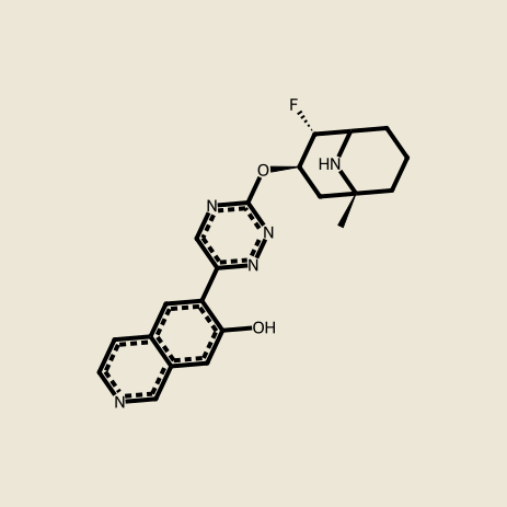 C[C@]12CCCC(N1)[C@@H](F)[C@H](Oc1ncc(-c3cc4ccncc4cc3O)nn1)C2